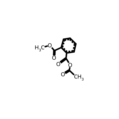 COC(=O)c1ccccc1C(=O)OC(C)=O